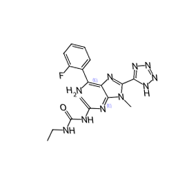 C=C(/N=C1\C(=C(/N)c2ccccc2F)N=C(c2nnn[nH]2)N1C)NC(=O)NCC